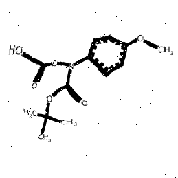 COc1ccc(N(CC(=O)O)C(=O)OC(C)(C)C)cc1